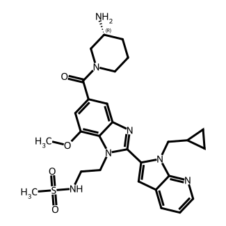 COc1cc(C(=O)N2CCC[C@@H](N)C2)cc2nc(-c3cc4cccnc4n3CC3CC3)n(CCNS(C)(=O)=O)c12